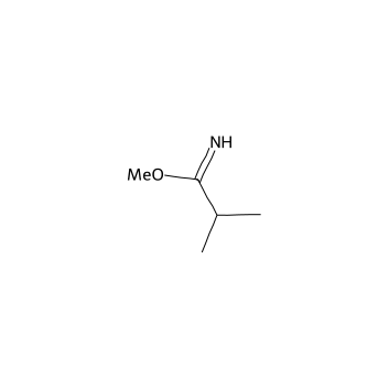 COC(=N)C(C)C